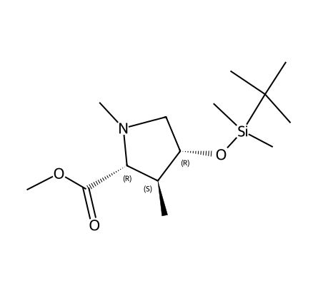 COC(=O)[C@H]1[C@H](C)[C@@H](O[Si](C)(C)C(C)(C)C)CN1C